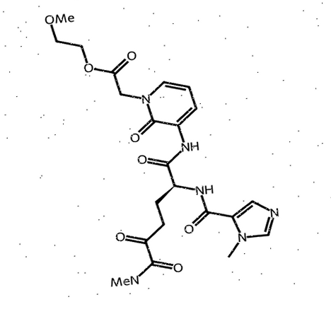 CNC(=O)C(=O)CC[C@H](NC(=O)c1cncn1C)C(=O)Nc1cccn(CC(=O)OCCOC)c1=O